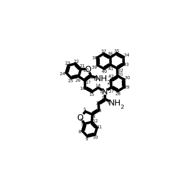 N/C(=C\C=C1/COc2ccccc21)N(C/C=C\c1c(N)oc2ccccc12)c1cccc(-c2cccc3ccccc23)c1